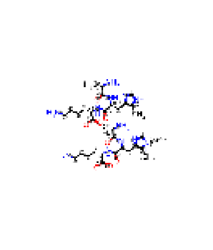 Cc1[nH]cnc1C[C@H](NC(=O)[C@H](C)N)C(=O)N[C@@H](CCCCN)C(=O)[O-].Cc1[nH]cnc1C[C@H](NC(=O)[C@H](C)N)C(=O)N[C@@H](CCCCN)C(=O)[O-].[Cu+2]